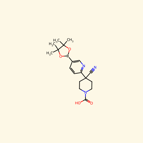 CC1(C)OB(c2ccc(C3(C#N)CCN(C(=O)O)CC3)nc2)OC1(C)C